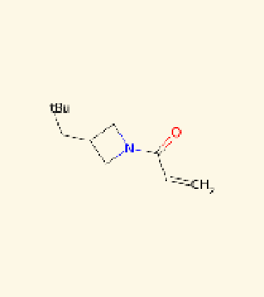 C=CC(=O)N1CC(CC(C)(C)C)C1